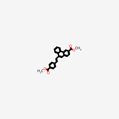 COC(=O)c1ccc(/C=C/c2cc3ccc(C(=O)OC)cc3c3ccccc23)cc1